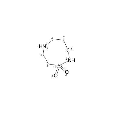 O=S1(=O)CCNCCCN1